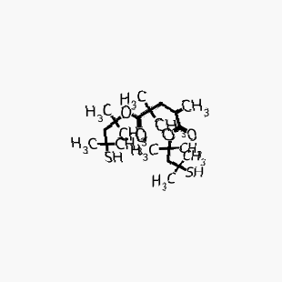 CC(CC(C)(C)C(=O)OC(C)(C)CC(C)(C)S)C(=O)OC(C)(C)CC(C)(C)S